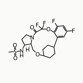 CS(=O)(=O)NC1CCN2C(=O)C(F)(F)Oc3c(F)cc(F)cc3C3CCC(CC3)OC[C@@H]12